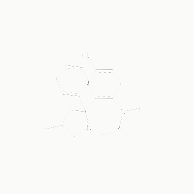 CC1CN2CC(=O)N(C(C)C)c3ccc(Cl)cc3C2(c2ccccc2)O1